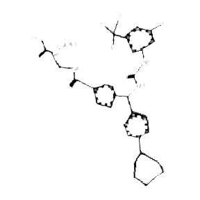 O=C(Nc1cc(F)cc(C(F)(F)F)c1)NC(c1ccc(C(=O)NC[C@@H](O)C(=O)O)cc1)c1ccc(C2CCCCC2)cc1